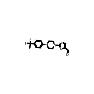 O=Cc1csc(N2CCN(c3ccc(C(F)(F)F)cc3)CC2)n1